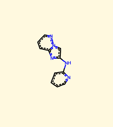 c1ccc(Nc2cn3ncccc3n2)nc1